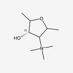 CC1OC(C)[C@@H](O)C1[N+](C)(C)C